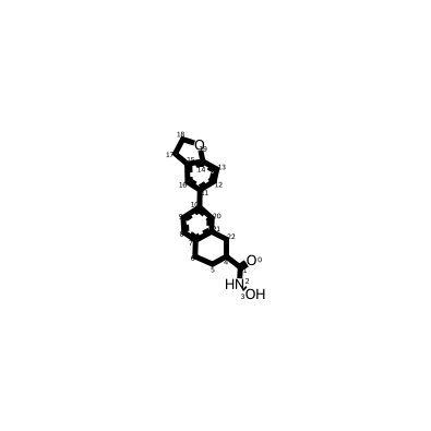 O=C(NO)C1CCc2ccc(-c3ccc4c(c3)CCO4)cc2C1